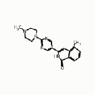 Cc1cccc2c(=O)[nH]c(-c3cnc(N4CCN(C)CC4)nc3)cc12